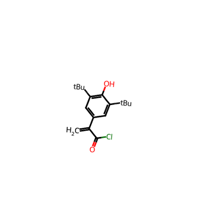 C=C(C(=O)Cl)c1cc(C(C)(C)C)c(O)c(C(C)(C)C)c1